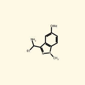 C[CH]C(N)c1nn(C)c2ccc(OC)cc12